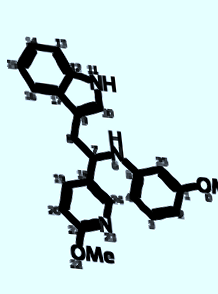 COc1cccc(NC(Cc2c[nH]c3ccccc23)c2ccc(OC)nc2)c1